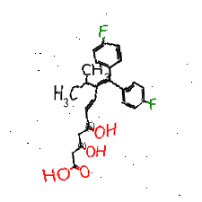 CC(C)C(C=C[C@@H](O)C[C@@H](O)CC(=O)O)=C(c1ccc(F)cc1)c1ccc(F)cc1